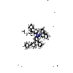 CC1(C)c2ccccc2-c2ccc(N(c3ccc(-c4cc(-c5ccccc5)ccc4-c4ccccc4)cc3)c3cc4ccccc4c4ccccc34)cc21